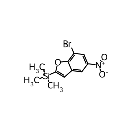 C[Si](C)(C)c1cc2cc([N+](=O)[O-])cc(Br)c2o1